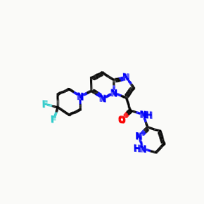 O=C(NC1=NNCC=C1)c1cnc2ccc(N3CCC(F)(F)CC3)nn12